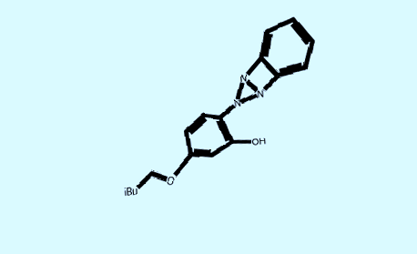 CCC(C)COc1ccc(-n2n3c4ccccc4n23)c(O)c1